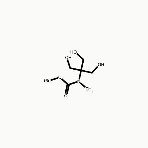 CN(C(=O)OC(C)(C)C)C(CO)(CO)CO